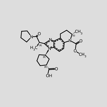 COC(=O)N1c2ccc3c(nc([C@@H](C)C(=O)N4CCCC4)n3[C@@H]3CCC[C@@H](C(=O)O)C3)c2CC[C@@H]1C